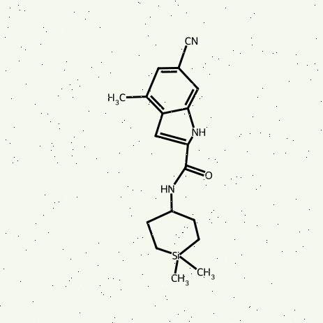 Cc1cc(C#N)cc2[nH]c(C(=O)NC3CC[Si](C)(C)CC3)cc12